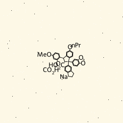 CCCOc1ccc2c(c1)C(c1ccc(OC)cc1OCC(=O)O)C(C(=O)O)C2(c1ccc2c(c1)CCC2)c1ccc2c(c1)OCO2.[Na]